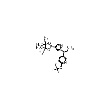 CCC(c1ccc(OC(F)(F)F)nc1)n1cc(B2OC(C)(C)C(C)(C)O2)cn1